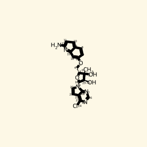 C[C@@]1(O)[C@@H](COc2ccc3ccc(N)nc3c2)O[C@@H](n2ccc3c(Cl)ncnc32)[C@@H]1O